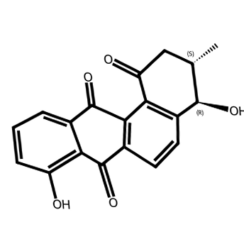 C[C@H]1CC(=O)c2c(ccc3c2C(=O)c2cccc(O)c2C3=O)[C@@H]1O